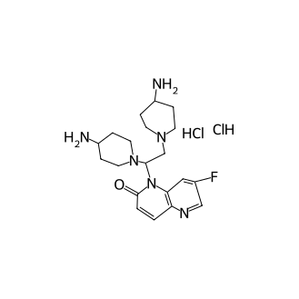 Cl.Cl.NC1CCN(CC(N2CCC(N)CC2)n2c(=O)ccc3ncc(F)cc32)CC1